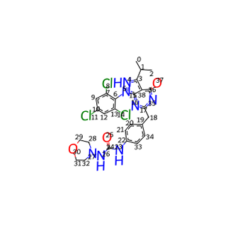 CC(C)c1[nH]n(-c2c(Cl)cc(Cl)cc2Cl)c2nc(Cc3ccc(NC(=O)NN4CCOCC4)cc3)nc(=O)c1-2